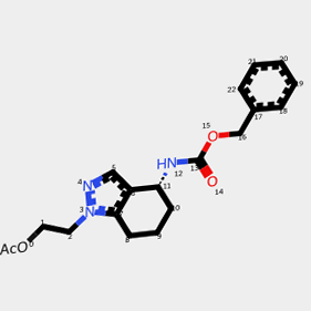 CC(=O)OCCn1ncc2c1CCC[C@H]2NC(=O)OCc1ccccc1